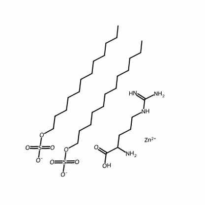 CCCCCCCCCCCCOS(=O)(=O)[O-].CCCCCCCCCCCCOS(=O)(=O)[O-].N=C(N)NCCCC(N)C(=O)O.[Zn+2]